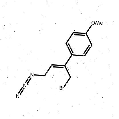 COc1ccc(C(=CCN=[N+]=[N-])CBr)cc1